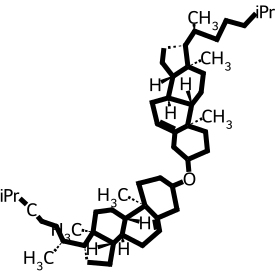 CC(C)CCC[C@@H](C)[C@H]1CC[C@H]2[C@@H]3CC=C4CC(OC5CC[C@@]6(C)C(=CC[C@H]7[C@@H]8CC[C@H]([C@H](C)CCCC(C)C)[C@@]8(C)CC[C@@H]76)C5)CC[C@]4(C)[C@H]3CC[C@]12C